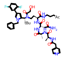 CC(=O)CCCNC(=O)[C@H](CCN(C(=O)CO)[C@@H](c1cc(-c2cc(F)ccc2F)cn1Cc1ccccc1)C(C)(C)C)NC(=O)[C@H](CC(N)=O)NC(=O)[C@@H](C)NC(=O)[C@H](C)NC(=O)Cc1ccncc1